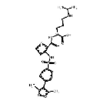 Cc1noc(C)c1-c1ccc(S(=O)(=O)Nc2ccsc2C(=O)N[C@@H](CCCNC(N)N)C(=O)O)cc1